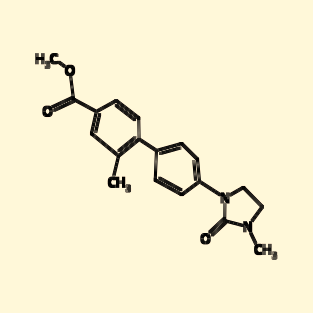 COC(=O)c1ccc(-c2ccc(N3CCN(C)C3=O)cc2)c(C)c1